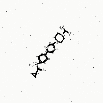 CC(C)N1CCN(c2cnc(-c3ccc(N(C)C(=O)C4CC4)cc3)cn2)CC1